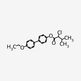 CCOc1ccc(-c2ccc(OC(=O)C(Cl)C(C)C)cc2)cc1